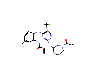 C=CC(=O)Nc1cc(C)ccc1Nc1nc(NC2CCCN(C(=O)CO)C2)ncc1C(F)(F)F